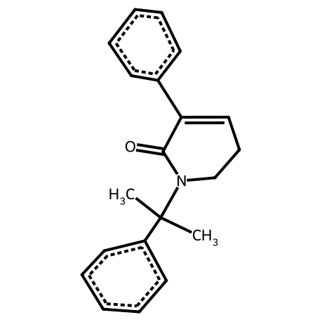 CC(C)(c1ccccc1)N1CCC=C(c2ccccc2)C1=O